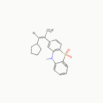 CCC(=C(C(=O)O)c1ccc2c(c1)N(C)c1ccccc1S2(=O)=O)C1CCCC1